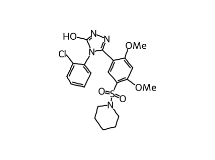 COc1cc(OC)c(S(=O)(=O)N2CCCCC2)cc1-c1nnc(O)n1-c1ccccc1Cl